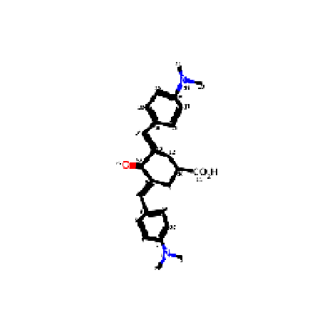 CN(C)c1ccc(C=C2CC(C(=O)O)CC(=Cc3ccc(N(C)C)cc3)C2=O)cc1